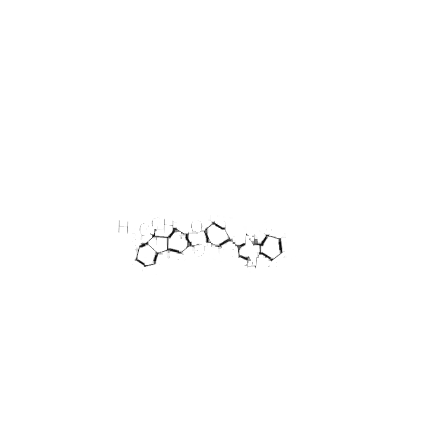 CC1(C)c2ccccc2-c2cc3c(cc21)Oc1ccc(-c2cnc4ccccc4n2)cc1O3